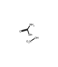 CCCC(N)=O.O=[N+]([O-])O